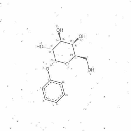 OC[C@H]1O[C@H](Oc2[c]cccc2)[C@H](O)[C@@H](O)[C@H]1O